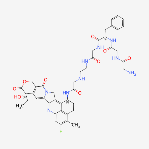 CC[C@@]1(O)C(=O)OCc2c1cc1n(c2=O)Cc2c-1nc1cc(F)c(C)c3c1c2[C@@H](NC(=O)CNCCNC(=O)CNC(=O)[C@H](Cc1ccccc1)NC(=O)CNC(=O)CN)CC3